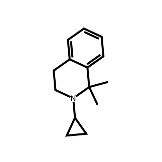 CC1(C)c2cc[c]cc2CCN1C1CC1